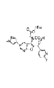 Cn1cc(-c2cnc3oc(C(=O)c4ccc(F)nc4)c(N(CC(=O)OC(C)(C)C)C(=O)O)c3c2)cn1